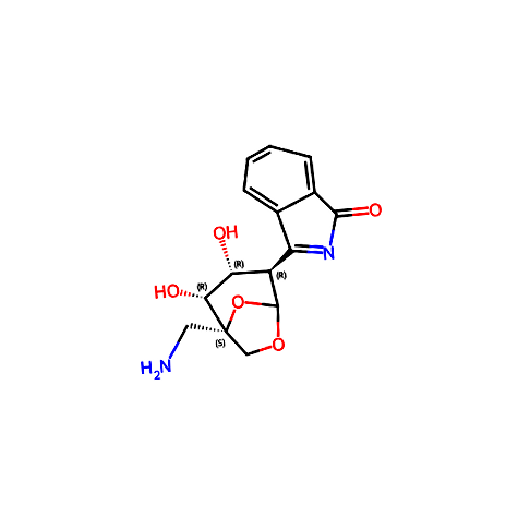 NC[C@@]12COC(O1)[C@H](C1=NC(=O)c3ccccc31)[C@@H](O)[C@H]2O